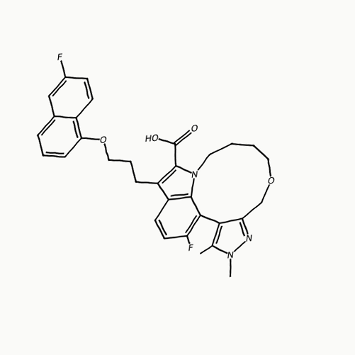 Cc1c2c(nn1C)COCCCCn1c(C(=O)O)c(CCCOc3cccc4cc(F)ccc34)c3ccc(F)c-2c31